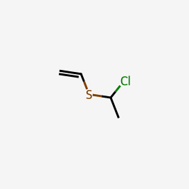 C=CSC(C)Cl